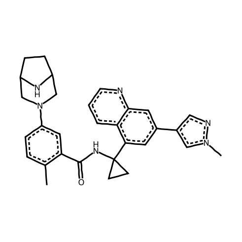 Cc1ccc(N2CC3CCC(C2)N3)cc1C(=O)NC1(c2cc(-c3cnn(C)c3)cc3ncccc23)CC1